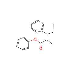 CCC(=C(C)C(=O)Oc1ccccc1)c1ccccc1